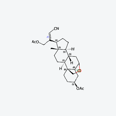 CC(=O)OC/C(=C/C#N)[C@H]1CC[C@H]2[C@@H]3CC4OC[C@@]5(CC[C@H](OC(C)=O)C[C@]45Cl)[C@H]3CC[C@]12C